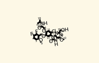 COc1ccc(F)c(F)c1COc1cc(-n2c(=O)[nH]c3c(OC)nc(CO)nc32)c(Cl)cc1OCC(=O)NC(C)C